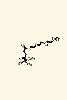 CCCC(C)(OC)C(=O)CCC(=O)OCCOCCOCCOCC